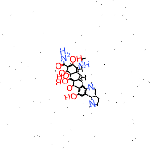 CCN[C@@H]1C(O)=C(C(N)=O)C(=O)[C@@]2(O)C(O)=C3C(=O)c4c(O)cc5c(c4C[C@H]3C[C@@H]12)N(C)CC1CCN(C)C51